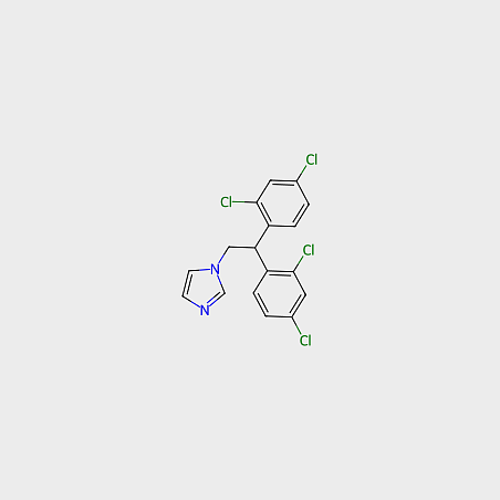 Clc1ccc(C(Cn2ccnc2)c2ccc(Cl)cc2Cl)c(Cl)c1